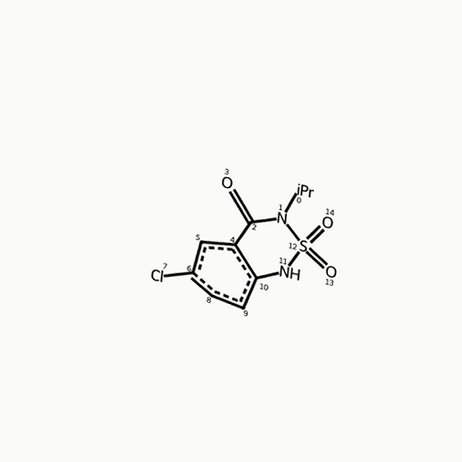 CC(C)N1C(=O)c2cc(Cl)ccc2NS1(=O)=O